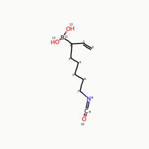 C=CC(CCCCCN=C=O)B(O)O